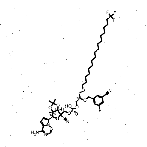 CC1(C)O[C@H]2[C@H](c3ccc4c(N)ncnn34)O[C@](C#N)(COP(=O)(O)OC[C@@H](COCCCCCCCCCCCCCCCCCC(F)(F)F)OCc3cc(F)cc(C#N)c3)[C@H]2O1